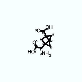 N[C@H](C(=O)O)C12CC3(C(=O)O)CC31C2